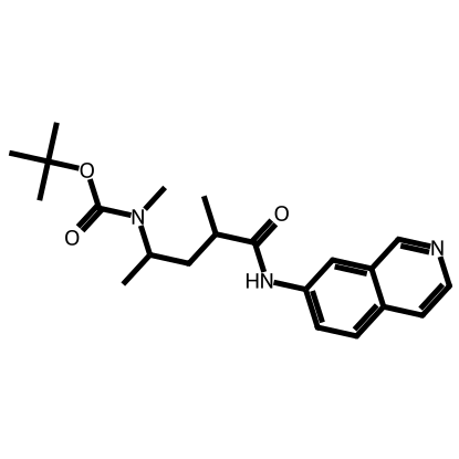 CC(CC(C)N(C)C(=O)OC(C)(C)C)C(=O)Nc1ccc2ccncc2c1